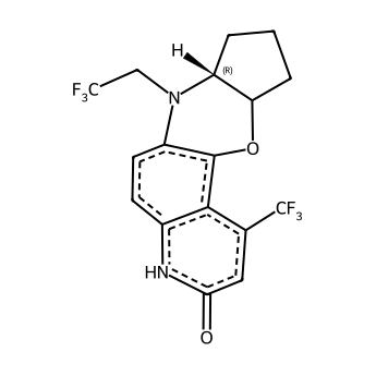 O=c1cc(C(F)(F)F)c2c3c(ccc2[nH]1)N(CC(F)(F)F)[C@@H]1CCCC1O3